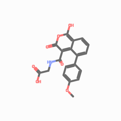 COc1ccc(-c2cccc3c(O)oc(=O)c(C(=O)NCC(=O)O)c23)cc1